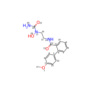 COc1ccc(-c2ccccc2C(=O)NCCN(O)C(N)=O)cc1